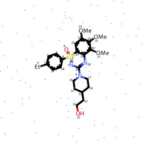 CCc1ccc(S2(=O)=NC(N3CCC(CCO)CC3)=Nc3c2cc(OC)c(OC)c3OC)cc1